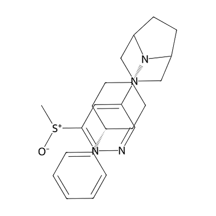 C[S+]([O-])c1cc(N2CC3CCC(C2)N3[C@H]2CC[C@@H](c3ccccc3)CC2)cnn1